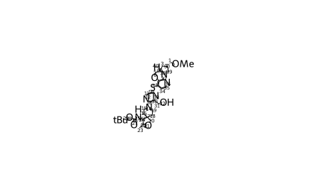 COC[C@H]1C[C@H]2COc3c(Sc4cnc(N5CCC6(CC5)CO[C@@H](C)[C@H]6NC(=O)OC(C)(C)C)c(CO)n4)ccnc3N2C1